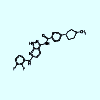 CN1CCC(c2ccc(C(=O)Nc3n[nH]c4nc(Nc5cccc(F)c5F)ccc34)cc2)CC1